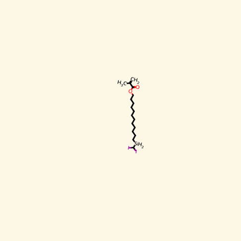 C=C(C)C(=O)OCCCCCCCCCCCC[SiH2]C(I)I